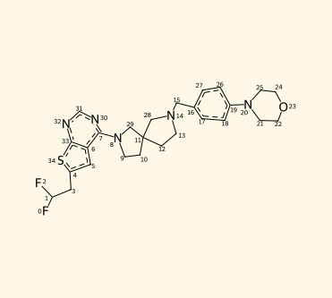 FC(F)Cc1cc2c(N3CCC4(CCN(Cc5ccc(N6CCOCC6)cc5)C4)C3)ncnc2s1